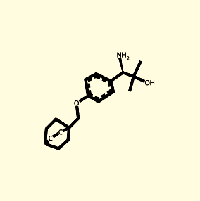 CC(C)(O)[C@H](N)c1ccc(OCC23CCC(CC2)CC3)cc1